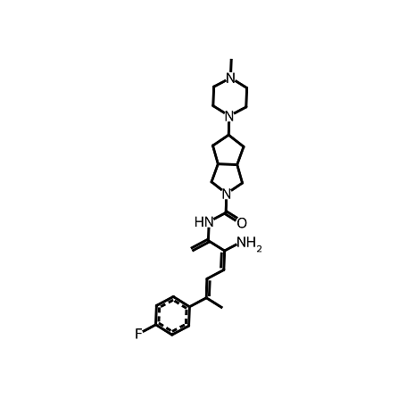 C=C(NC(=O)N1CC2CC(N3CCN(C)CC3)CC2C1)/C(N)=C\C=C(/C)c1ccc(F)cc1